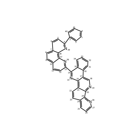 c1ccc(-c2ccc3ccc4ccc(-c5nc6c(cnc7c6ccc6cccnc67)c6ccccc56)nc4c3n2)cc1